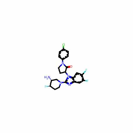 N[C@@H]1CN(c2nc3cc(F)c(F)cc3n2C2CCN(c3ccc(Cl)cc3)C2=O)CC[C@H]1F